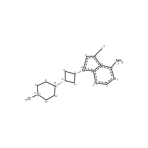 Nc1ncnc2c1c(I)cn2[C@H]1C[C@@H](N2CC[S+]([O-])CC2)C1